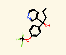 CCCC(O)(c1ccc(OC(F)(F)F)cc1)c1cccnc1